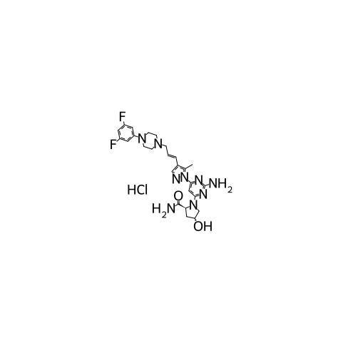 Cc1c(/C=C/CN2CCN(c3cc(F)cc(F)c3)CC2)cnn1-c1cc(N2C[C@@H](O)C[C@H]2C(N)=O)nc(N)n1.Cl